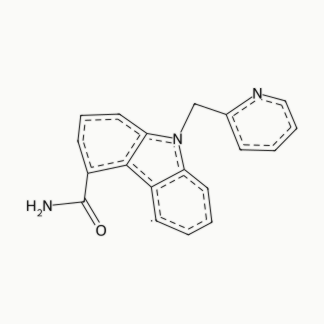 NC(=O)c1cccc2c1c1[c]cccc1n2Cc1ccccn1